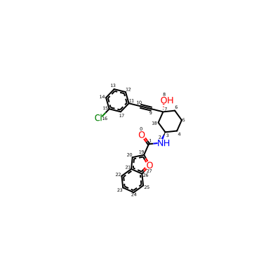 O=C(N[C@@H]1CCC[C@](O)(C#Cc2cccc(Cl)c2)C1)c1cc2ccccc2o1